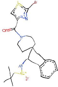 CC(C)(C)[S@@+]([O-])N[C@@H]1c2ccccc2CC12CCN(C(=O)c1csc(Br)n1)CC2